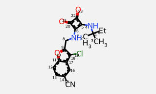 CCC(C)(C)Nc1c(NCc2oc3ccc(C#N)cc3c2Cl)c(=O)c1=O